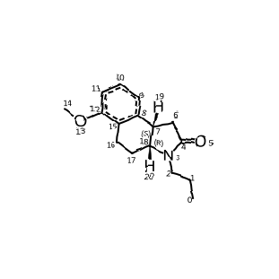 CCCN1C(=O)C[C@H]2c3cccc(OC)c3CC[C@H]21